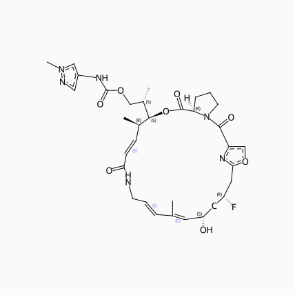 CC1=C\[C@@H](O)C[C@@H](F)Cc2nc(co2)C(=O)N2CCC[C@@H]2C(=O)O[C@H]([C@@H](C)COC(=O)Nc2cnn(C)c2)[C@H](C)/C=C/C(=O)NC\C=C\1